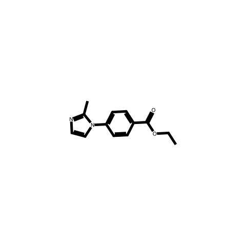 CCOC(=O)c1ccc(-n2ccnc2C)cc1